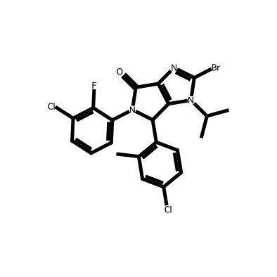 Cc1cc(Cl)ccc1C1c2c(nc(Br)n2C(C)C)C(=O)N1c1cccc(Cl)c1F